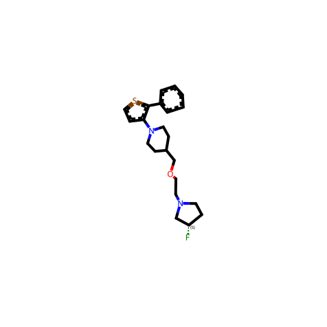 F[C@H]1CCN(CCOCC2CCN(c3ccsc3-c3ccccc3)CC2)C1